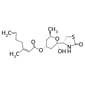 C=CCC/C(C)=C\C(=O)O[C@@H]1C[C@@H](C)O[C@@](O)([C@@H]2CSC(=O)N2)C1